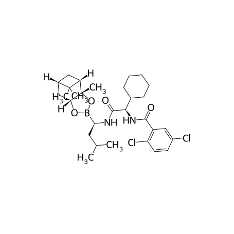 CC(C)C[C@H](NC(=O)[C@H](NC(=O)c1cc(Cl)ccc1Cl)C1CCCCC1)B1O[C@@H]2C[C@@H]3C[C@@H](C3(C)C)[C@]2(C)O1